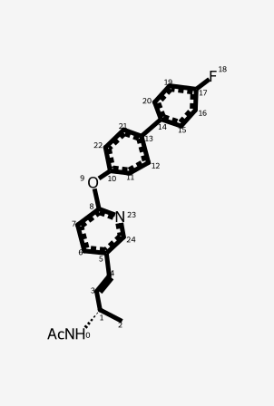 CC(=O)N[C@@H](C)/C=C/c1ccc(Oc2ccc(-c3ccc(F)cc3)cc2)nc1